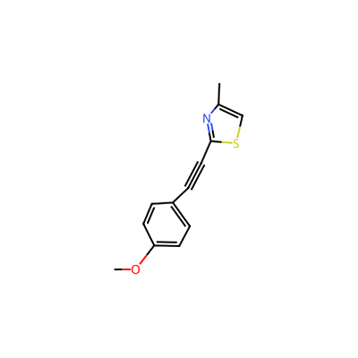 COc1ccc(C#Cc2nc(C)cs2)cc1